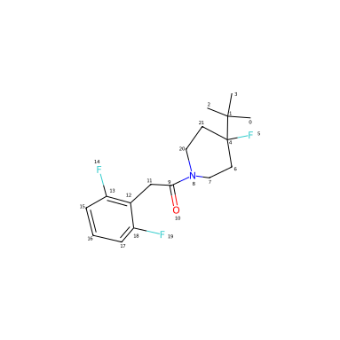 CC(C)(C)C1(F)CCN(C(=O)Cc2c(F)cccc2F)CC1